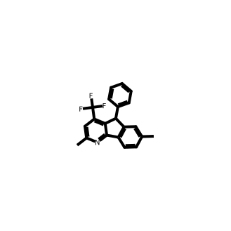 Cc1ccc2c(c1)C(c1ccccc1)c1c(C(F)(F)F)cc(C)nc1-2